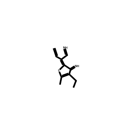 C=C/C(C=N)=C1\SC(C)=C(CC)C1=N